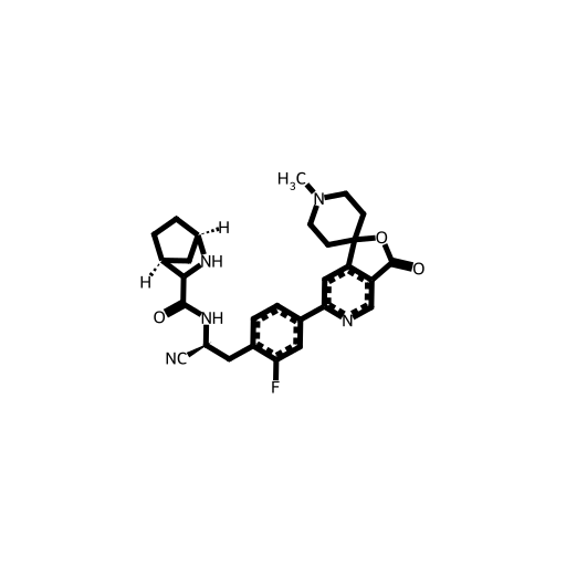 CN1CCC2(CC1)OC(=O)c1cnc(-c3ccc(C[C@@H](C#N)NC(=O)C4N[C@@H]5CC[C@H]4C5)c(F)c3)cc12